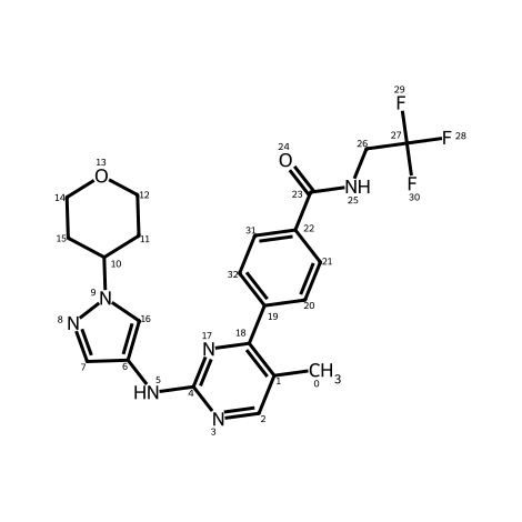 Cc1cnc(Nc2cnn(C3CCOCC3)c2)nc1-c1ccc(C(=O)NCC(F)(F)F)cc1